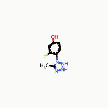 CC1=NNNN1c1ccc(O)cc1F